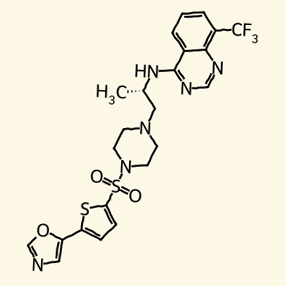 C[C@@H](CN1CCN(S(=O)(=O)c2ccc(-c3cnco3)s2)CC1)Nc1ncnc2c(C(F)(F)F)cccc12